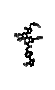 CCC1CCN(C(CC(C)C)C(=O)N2CC(O)CC2C(=O)NCc2ccc(-c3scnc3C)cc2)C1=O